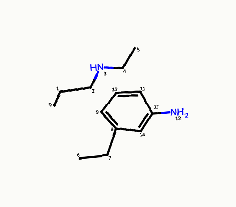 CCCNCC.CCc1cccc(N)c1